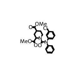 COC(=O)C1CCN(C(=O)N(c2ccccc2)c2cccc(Cl)c2)C(C(=O)OC)C1